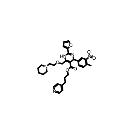 Cc1ccc(C2N=C(c3ccco3)NC(COCCN3CCCCC3)=C2C(=O)OCCCc2ccncc2)cc1[N+](=O)[O-]